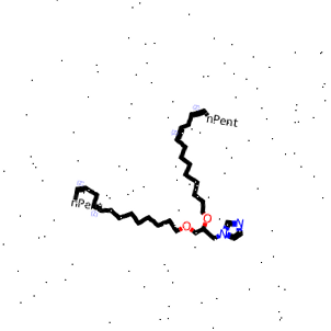 CCCCC/C=C\C/C=C\CCCCCCCCOCC(Cn1ccnc1)OCCCCCCCC/C=C\C/C=C\CCCCC